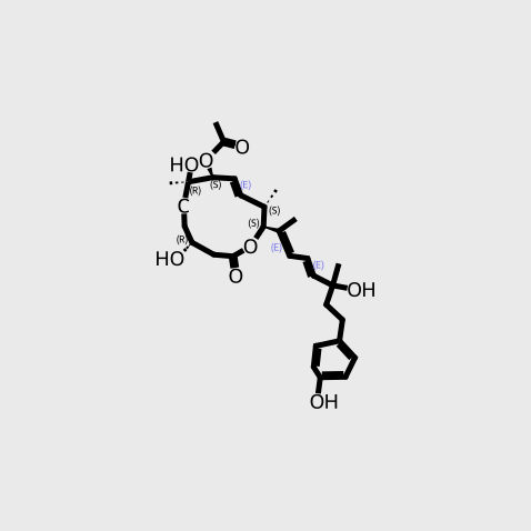 CC(=O)O[C@H]1/C=C/[C@H](C)[C@@H](/C(C)=C/C=C/C(C)(O)CCc2ccc(O)cc2)OC(=O)C[C@H](O)CC[C@@]1(C)O